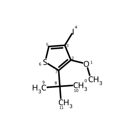 COc1c(I)csc1C(C)(C)C